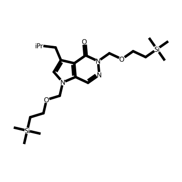 CC(C)Cc1cn(COCC[Si](C)(C)C)c2cnn(COCC[Si](C)(C)C)c(=O)c12